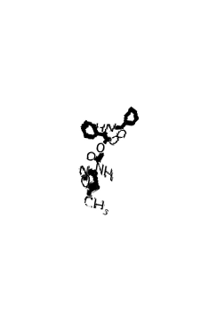 Cc1cc(NC(=O)COC(=O)C(NC(=O)c2ccccc2)c2ccccc2)no1